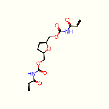 C=CC(=O)NC(=O)OCC1CCC(COC(=O)NC(=O)C=C)O1